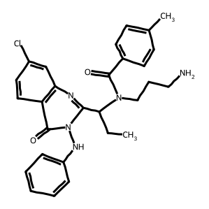 CCC(c1nc2cc(Cl)ccc2c(=O)n1Nc1ccccc1)N(CCCN)C(=O)c1ccc(C)cc1